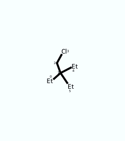 CCC([CH]Cl)(CC)CC